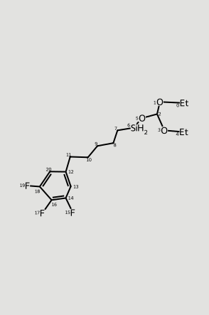 CCOC(OCC)O[SiH2]CCCCCc1cc(F)c(F)c(F)c1